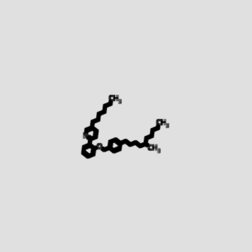 CCCCCCCc1ccc(-c2ccccc2OCc2ccc(CCCCC(C)CCCCC)cc2)nc1